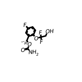 C[C@@H](OC(N)=O)c1cc(F)ccc1OC(F)(F)CO